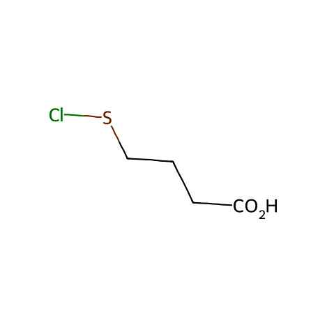 O=C(O)CCCSCl